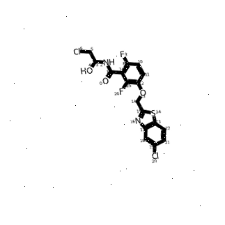 O=C(NC(O)CCl)c1c(F)ccc(OCc2nc3cc(Cl)ccc3s2)c1F